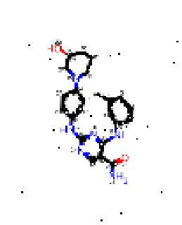 Cc1cccc(Nc2nc(Nc3ccc(N4CCC[C@H](O)C4)cc3)ncc2C(N)=O)c1